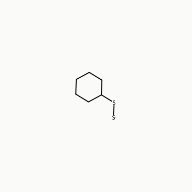 [S]SC1CCCCC1